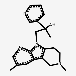 Cc1cnc2c(c1)c1c(n2CC(C)(O)c2cccnc2)CCN(C)C1